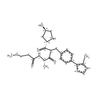 COCCC(=O)N[C@@H](C)C(=O)N(Cc1ccc(-c2scnc2C)cc1)C(=O)[C@@H]1C[C@@H](O)CN1